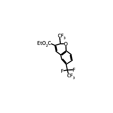 CCOC(=O)C1=Cc2cc(C(F)(F)C(F)(F)F)ccc2OC1C(F)(F)F